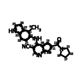 Cc1c(Nc2c(C#N)cnc3sc(C(=O)N4CCCC4)cc23)ccc2[nH]ccc12